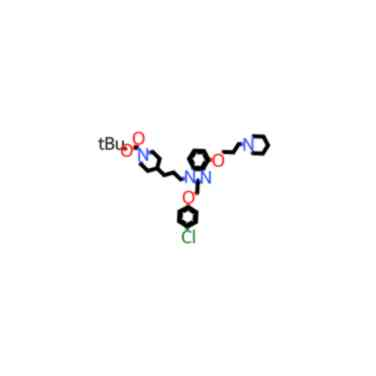 CC(C)(C)OC(=O)N1CCC(CCCn2c(COc3ccc(Cl)cc3)nc3c(OCCCN4CCCCC4)cccc32)CC1